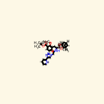 COc1c(CC(NC(=O)Cn2cc(-c3ccccn3)nn2)B2O[C@@H]3C[C@@H]4C[C@@H](C4(C)C)[C@]3(C)O2)cccc1C(=O)OC(C)(C)C